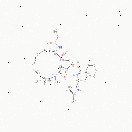 CCOC(=O)[C@@]12C[C@H]1/C=C\CCCCC[C@H](NC(=O)OC(C)(C)C)C(=O)N1C[C@H](Oc3nc(-c4nc(C(C)C)cs4)cc4c3CCCC4)C[C@H]1C(=O)N2